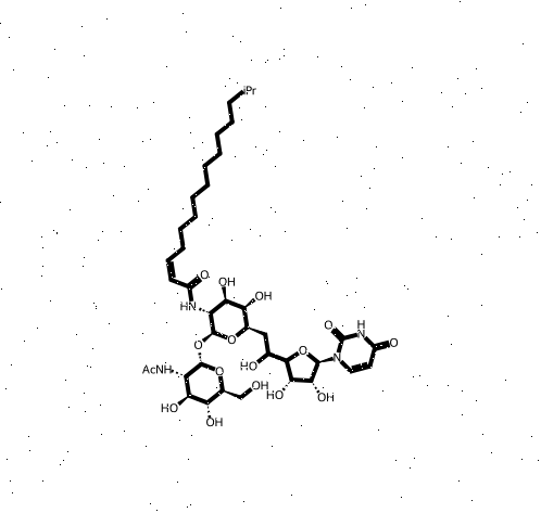 CC(=O)N[C@@H]1[C@H](O[C@@H]2O[C@H](CC(O)C3O[C@@H](n4ccc(=O)[nH]c4=O)[C@H](O)[C@@H]3O)[C@H](O)[C@H](O)[C@H]2NC(=O)/C=C\CCCCCCCCCCC(C)C)O[C@@H](CO)[C@H](O)[C@H]1O